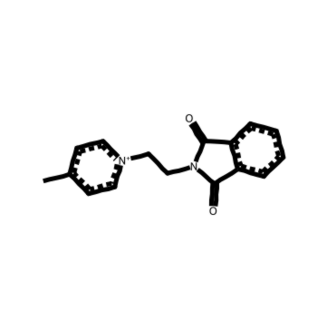 Cc1cc[n+](CCN2C(=O)c3ccccc3C2=O)cc1